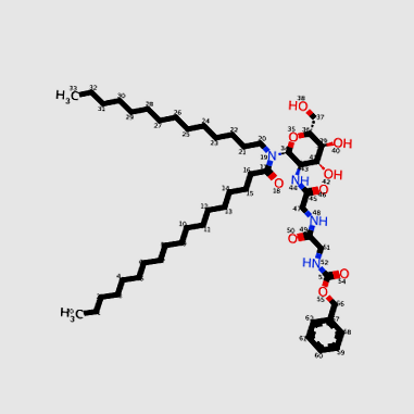 CCCCCCCCCCCCCCCCCC(=O)N(CCCCCCCCCCCCCC)[C@@H]1O[C@H](CO)[C@@H](O)[C@H](O)[C@H]1NC(=O)CNC(=O)CNC(=O)OCc1ccccc1